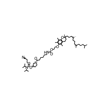 Cc1c(C)c2c(c(C)c1OCCOC(=O)NCCCCCC(=O)N1CC[C@@H](OP(OCCC#N)N(C(C)C)C(C)C)C1)CC[C@@](C)(CCC[C@H](C)CCC[C@H](C)CCCC(C)C)O2